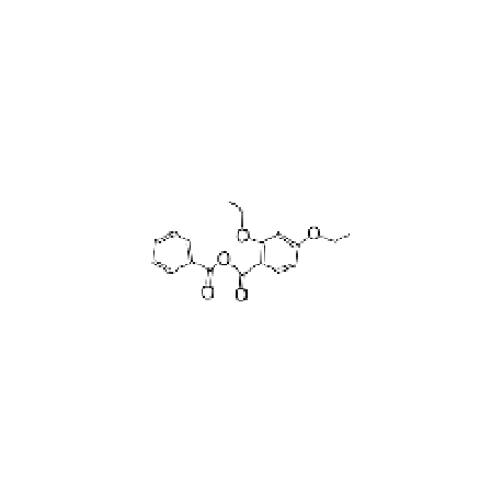 CCOc1ccc(C(=O)OC(=O)c2ccccc2)c(OCC)c1